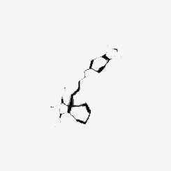 O=C1NC(=O)C2(CCCCCc3ccc4c(c3)OCO4)C=CC=CC12